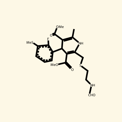 COC(=O)C1=C(C)NC(CSCCNC=O)=C(C(=O)OC)C1c1cccc(SC)c1F